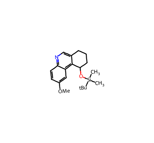 COc1ccc2ncc3c(c2c1)C(O[Si](C)(C)C(C)(C)C)CCC3